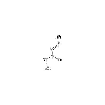 CCOC(=O)C=CC(C)C